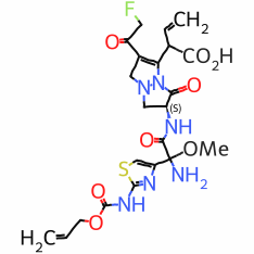 C=CCOC(=O)Nc1nc(C(N)(OC)C(=O)N[C@H]2CN3CC(C(=O)CF)=C(C(C=C)C(=O)O)N3C2=O)cs1